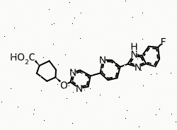 O=C(O)[C@H]1CC[C@@H](Oc2ncc(-c3ccc(-c4nc5ccc(F)cc5[nH]4)cn3)cn2)CC1